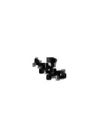 Br.CN(C)CCNC(=O)c1cc(CCBr)c2oc(N3CCOCC3)cc(=O)c2c1